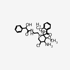 COc1ccccc1C(=O)C1(N)C(OC)C(N)C(Cl)CN1CCNC(=O)C(O)c1ccccc1